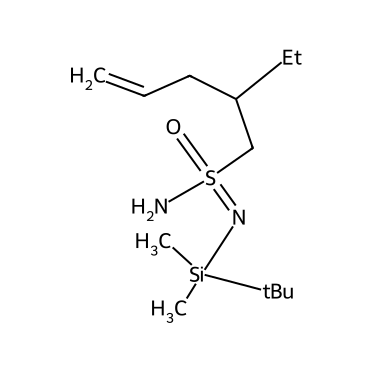 C=CCC(CC)CS(N)(=O)=N[Si](C)(C)C(C)(C)C